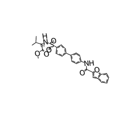 COC(=O)[C@@H](NS(=O)(=O)c1ccc(-c2ccc(NC(=O)c3cc4ccccc4o3)cc2)cc1)C(C)C